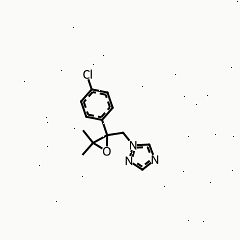 CC1(C)OC1(Cn1cncn1)c1ccc(Cl)cc1